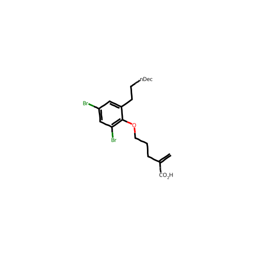 C=C(CCCOc1c(Br)cc(Br)cc1CCCCCCCCCCCC)C(=O)O